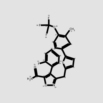 Cc1cc(-c2ccc(Cc3noc(C(N)=O)c3-c3ccccc3F)s2)ccc1OC(F)(F)F